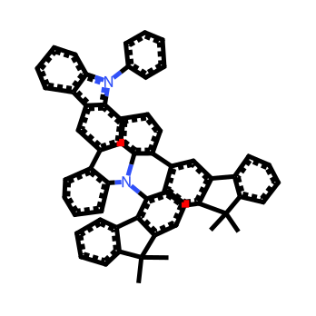 CC1(C)c2ccccc2-c2cc(-c3ccccc3N(c3ccccc3-c3ccc4c(c3)c3ccccc3n4-c3ccccc3)c3cccc4c3-c3ccccc3C4(C)C)ccc21